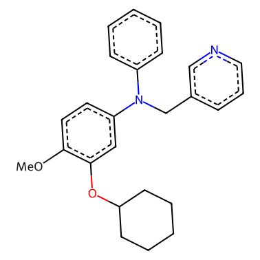 COc1ccc(N(Cc2cccnc2)c2ccccc2)cc1OC1CCCCC1